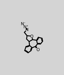 [N-]=[N+]=NCC1CC2c3ccccc3C(=O)c3ccccc3C2O1